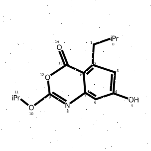 CC(C)Cc1cc(O)cc2nc(OC(C)C)oc(=O)c12